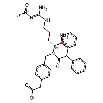 NC(=O)[C@@H](CCCNC(N)=N[N+](=O)[O-])N(Cc1ccc(CC(=O)O)cc1)C(=O)C(c1ccccc1)c1ccccc1